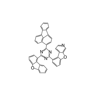 c1ccc2c(c1)-c1cccc3c(-c4nc(-c5cccc6oc7ccccc7c56)nc(-c5cccc6oc7cnccc7c56)n4)ccc-2c13